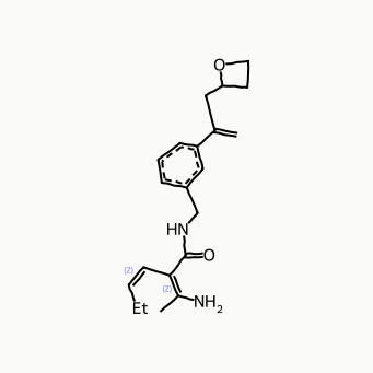 C=C(CC1CCO1)c1cccc(CNC(=O)C(/C=C\CC)=C(/C)N)c1